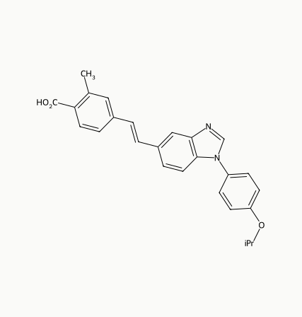 Cc1cc(C=Cc2ccc3c(c2)ncn3-c2ccc(OC(C)C)cc2)ccc1C(=O)O